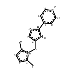 Cc1ccc(C)n1Cc1csc(-c2ccncc2)n1